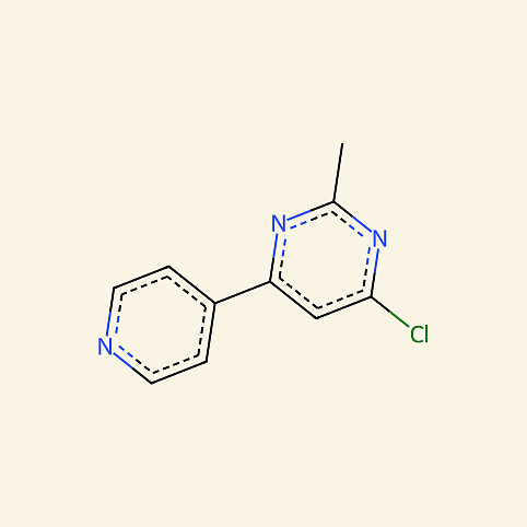 Cc1nc(Cl)cc(-c2ccncc2)n1